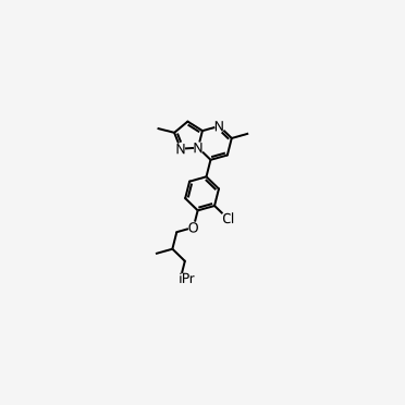 Cc1cc(-c2ccc(OCC(C)CC(C)C)c(Cl)c2)n2nc(C)cc2n1